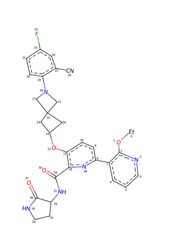 CCOc1ncccc1-c1ccc(OC2CC3(C2)CN(c2ccc(F)cc2C#N)C3)c(C(=O)NC2CCNC2=O)n1